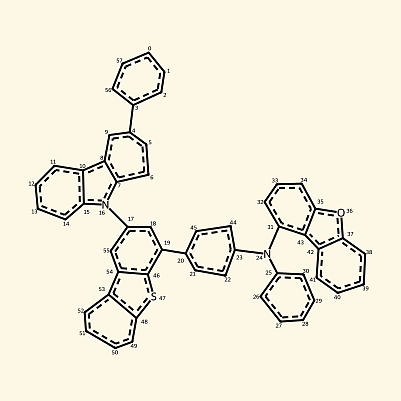 c1ccc(-c2ccc3c(c2)c2ccccc2n3-c2cc(-c3ccc(N(c4ccccc4)c4cccc5oc6ccccc6c45)cc3)c3sc4ccccc4c3c2)cc1